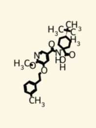 COc1ncc(C(=O)N[C@]2(C(=O)O)CC[C@H](C(C)(C)C)CC2)cc1OCCc1cccc(C)c1